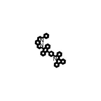 C1=CC(c2c3ccccc3c(-c3ccc4ccc5ccc(-c6ccccc6)nc5c4n3)c3ccccc23)CC=C1c1nc2c3ccccc3c3ccccc3c2c2ccccc12